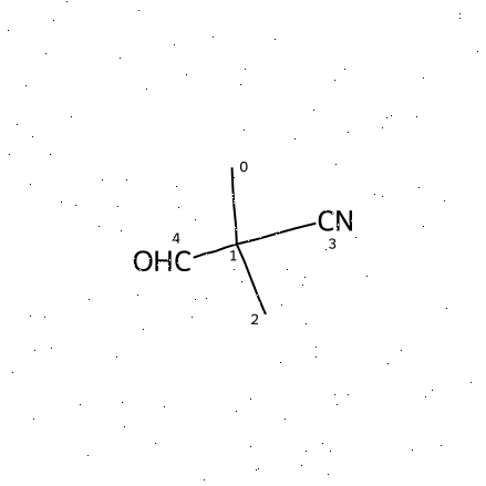 CC(C)(C#N)C=O